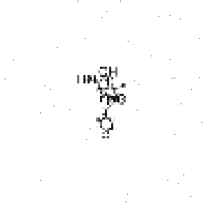 CC(C(=O)OCCc1ccccc1)c1cc(O)c(O)cc1O